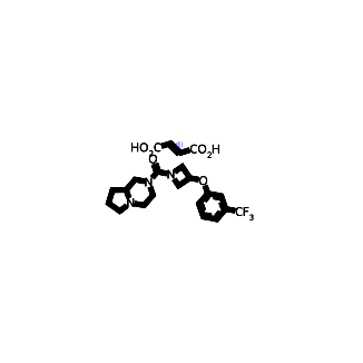 O=C(N1CC(Oc2cccc(C(F)(F)F)c2)C1)N1CCN2CCCC2C1.O=C(O)/C=C/C(=O)O